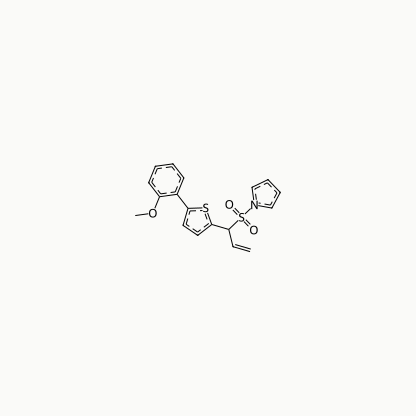 C=CC(c1ccc(-c2ccccc2OC)s1)S(=O)(=O)n1cccc1